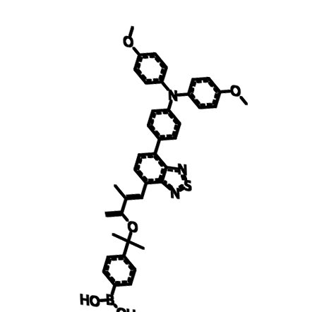 C=C(OC(C)(C)c1ccc(B(O)O)cc1)/C(C)=C/c1ccc(-c2ccc(N(c3ccc(OC)cc3)c3ccc(OC)cc3)cc2)c2nsnc12